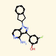 Nc1nccc2c1c(-c1cc(O)cc(F)c1)nn2C1Cc2ccccc2C1